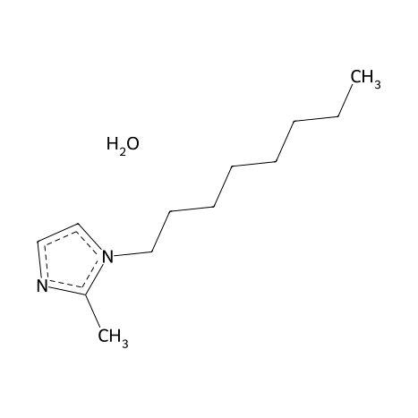 CCCCCCCCn1ccnc1C.O